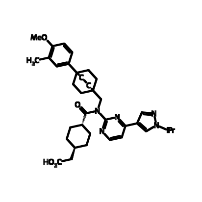 COc1ccc(C23CCC(CN(c4nccc(-c5cnn(C(C)C)c5)n4)C(=O)[C@H]4CC[C@H](CC(=O)O)CC4)(CC2)CC3)cc1C